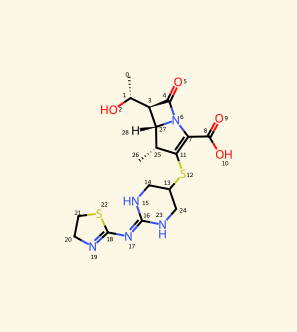 C[C@@H](O)[C@H]1C(=O)N2C(C(=O)O)=C(SC3CNC(=NC4=NCCS4)NC3)[C@H](C)[C@H]12